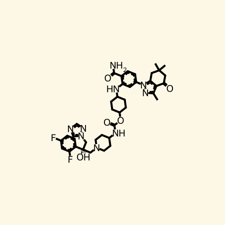 Cc1nn(-c2ccc(C(N)=O)c(NC3CCC(OC(=O)NC4CCN(C[C@](O)(Cn5cncn5)c5ccc(F)cc5F)CC4)CC3)c2)c2c1C(=O)CC(C)(C)C2